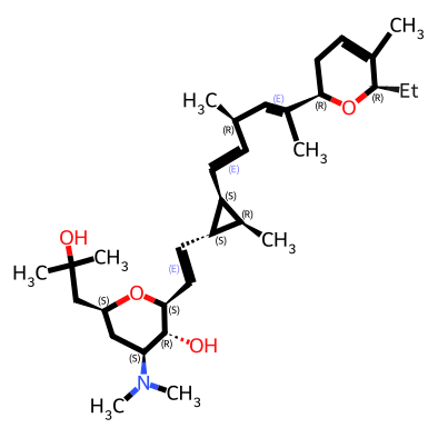 CC[C@H]1O[C@@H](/C(C)=C/[C@H](C)/C=C/[C@H]2[C@@H](C)[C@@H]2/C=C/[C@@H]2O[C@H](CC(C)(C)O)C[C@H](N(C)C)[C@H]2O)CC=C1C